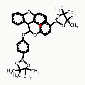 CC1(C)OB(c2ccc(OC(Oc3ccc(B4OC(C)(C)C(C)(C)O4)cc3)C3c4ccccc4Oc4ccccc43)cc2)OC1(C)C